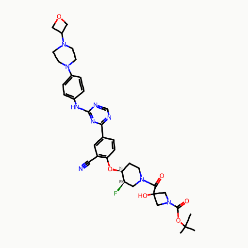 CC(C)(C)OC(=O)N1CC(O)(C(=O)N2CC[C@H](Oc3ccc(-c4ncnc(Nc5ccc(N6CCN(C7COC7)CC6)cc5)n4)cc3C#N)[C@H](F)C2)C1